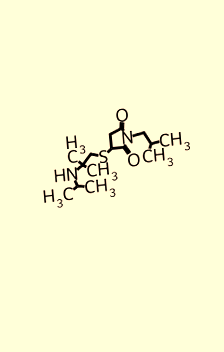 CC(C)CN1C(=O)CC(SCC(C)(C)NC(C)C)C1=O